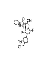 CN1C(=O)Cc2ccc(-c3cc(F)c(CC(C#N)NC(=O)[C@H]4NC5CCC4C5)cc3F)cc21